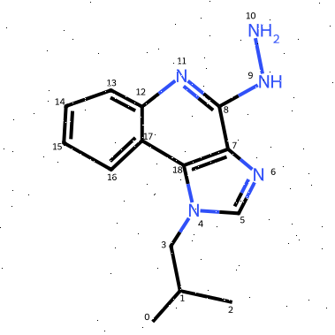 CC(C)Cn1cnc2c(NN)nc3ccccc3c21